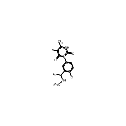 CONC(C(C)=O)c1cc(-n2c(=O)[nH]c(C(F)(F)F)c(C)c2=O)ccc1Cl